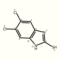 Sc1nc2cc(Cl)c(Cl)cc2[nH]1